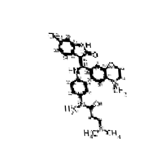 CN(C)CCC(=O)N(C)c1ccc(NC(=C2C(=O)Nc3cc(Cl)ccc32)c2ccc3c(c2)OCCN3C)cc1